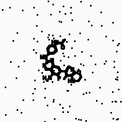 CC(=O)Nc1ccc(Nc2ncc3c(N)c(F)c(-c4cnc5c(c4C)NCCO5)cc3n2)cc1